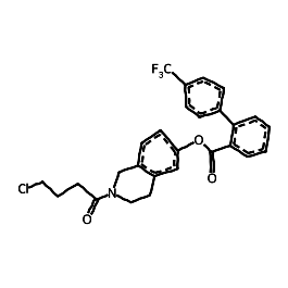 O=C(Oc1ccc2c(c1)CCN(C(=O)CCCCl)C2)c1ccccc1-c1ccc(C(F)(F)F)cc1